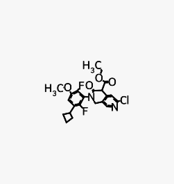 CCOC(=O)C1C(=O)N(c2c(F)c(OC)cc(C3CCC3)c2F)Cc2cnc(Cl)cc21